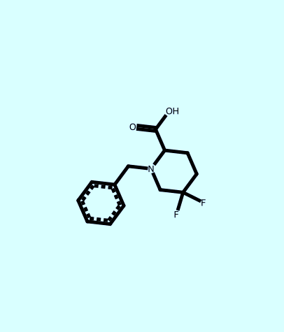 O=C(O)C1CCC(F)(F)CN1Cc1ccccc1